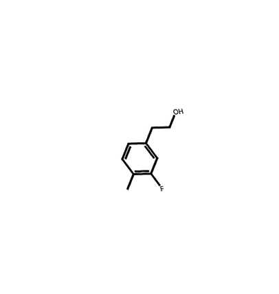 Cc1ccc(CCO)cc1F